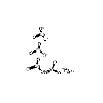 [O]=[Sn]([O-])[O-].[O]=[Sn]([O-])[O-].[O]=[Sn]([O-])[O-].[O]=[Sn]([O-])[O-].[Ti+4].[Zr+4]